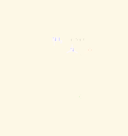 CCCCCn1c(CN)c(-c2ccccc2)c2cc(Cl)ccc2c1=O